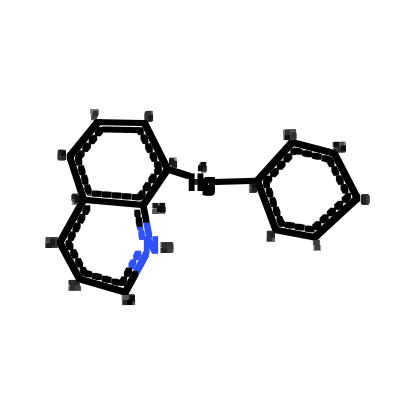 c1cc[c]([Hg][c]2cccc3cccnc23)cc1